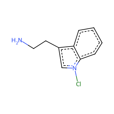 NCCc1cn(Cl)c2ccccc12